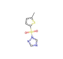 Cc1ccc(S(=O)(=O)n2cncn2)s1